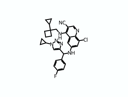 N#Cc1cnc2c(Cl)cc(NC(c3ccc(F)cc3)c3cn(C4CC4)nn3)cc2c1NCC1(C2CC2)CCC1